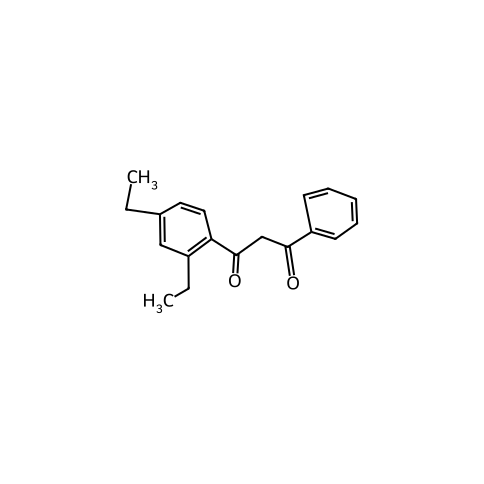 CCc1ccc(C(=O)CC(=O)c2ccccc2)c(CC)c1